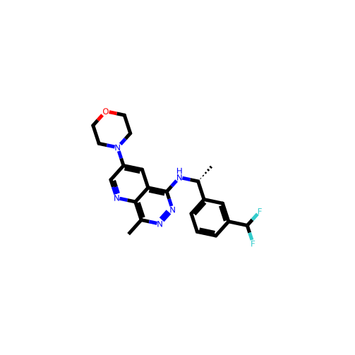 Cc1nnc(N[C@H](C)c2cccc(C(F)F)c2)c2cc(N3CCOCC3)cnc12